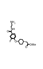 COC(=O)C[C@H]1CC[C@@H](Oc2ccc(C(=O)NCCN)cc2F)CC1